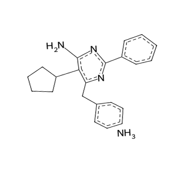 N.Nc1nc(-c2ccccc2)nc(Cc2ccccc2)c1C1CCCC1